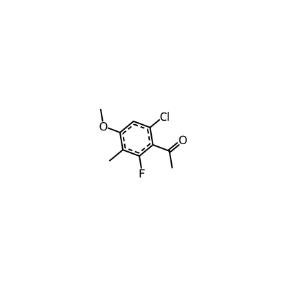 COc1cc(Cl)c(C(C)=O)c(F)c1C